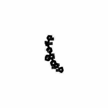 c1cc(-c2nnc(-c3ccc4[nH]c([C@@H]5CCCN5)nc4c3)c3c2C2CCC3CC2)ccc1-c1cnc(C2CCCN2)[nH]1